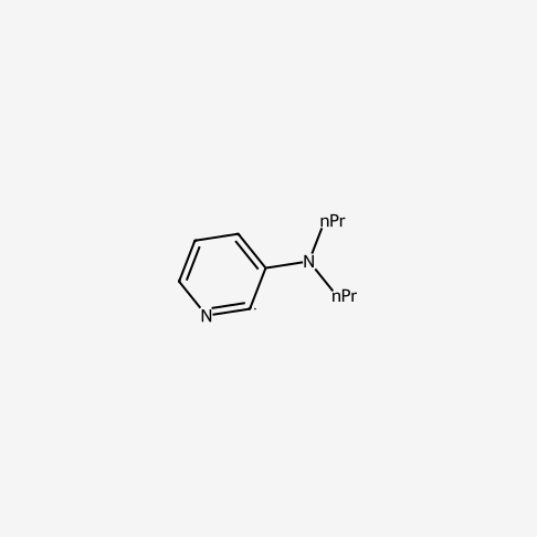 CCCN(CCC)c1[c]nccc1